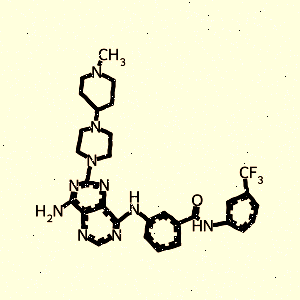 CN1CCC(N2CCN(c3nc(N)c4ncnc(Nc5cccc(C(=O)Nc6cccc(C(F)(F)F)c6)c5)c4n3)CC2)CC1